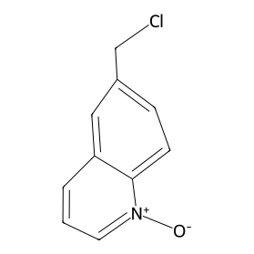 [O-][n+]1cccc2cc(CCl)ccc21